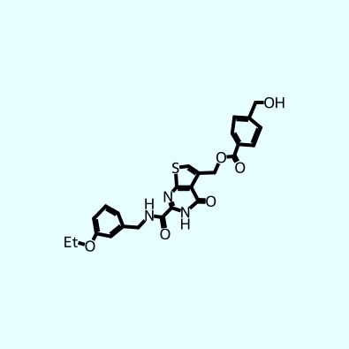 CCOc1cccc(CNC(=O)c2nc3scc(COC(=O)c4ccc(CO)cc4)c3c(=O)[nH]2)c1